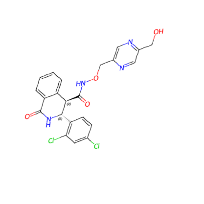 O=C1N[C@@H](c2ccc(Cl)cc2Cl)[C@H](C(=O)NOCc2cnc(CO)cn2)c2ccccc21